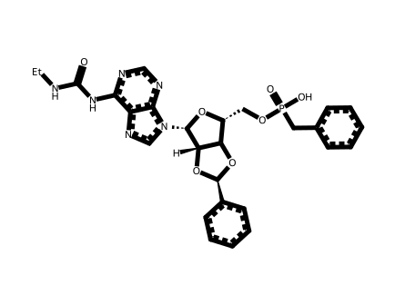 CCNC(=O)Nc1ncnc2c1ncn2[C@@H]1O[C@H](COP(=O)(O)Cc2ccccc2)C2O[C@@H](c3ccccc3)O[C@@H]21